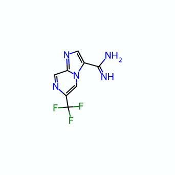 N=C(N)c1cnc2cnc(C(F)(F)F)cn12